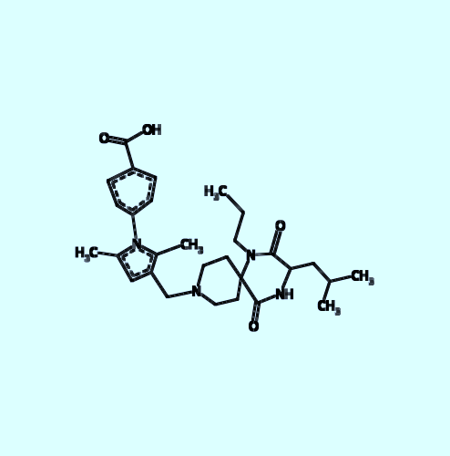 CCCN1C(=O)C(CC(C)C)NC(=O)C12CCN(Cc1cc(C)n(-c3ccc(C(=O)O)cc3)c1C)CC2